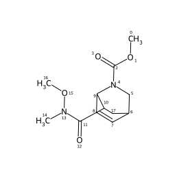 COC(=O)N1CC2C=CC1C(C(=O)N(C)OC)C2